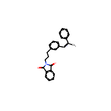 C/C(=C/c1cccc(CCCN2C(=O)c3ccccc3C2=O)c1)c1ccccc1